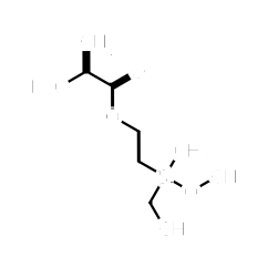 C=C(C)C(=O)OCC[Si](C)(CC)OC